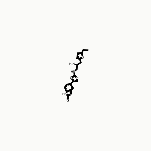 N[C@H](CNc1ncc(-c2ccc3[nH]c(=O)oc3c2)s1)Cc1ccc(CI)s1